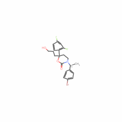 C[C@@H](c1ccc(Br)cc1)N1CCC(CCCO)(c2ccc(F)cc2F)OC1=O